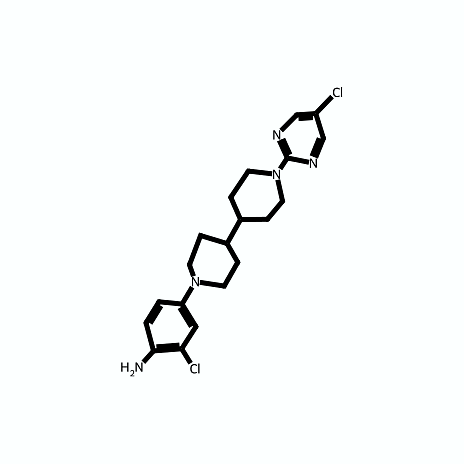 Nc1ccc(N2CCC(C3CCN(c4ncc(Cl)cn4)CC3)CC2)cc1Cl